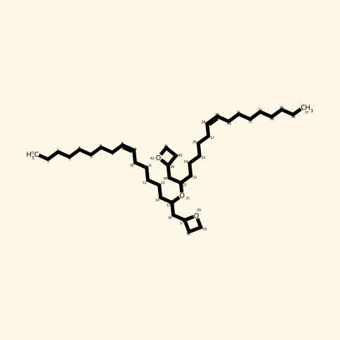 CCCCCCCC/C=C\CCCCCC(CC1CCO1)OC(CCCCC/C=C\CCCCCCCC)CC1CCO1